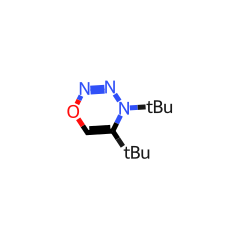 CC(C)(C)C1=CON=NN1C(C)(C)C